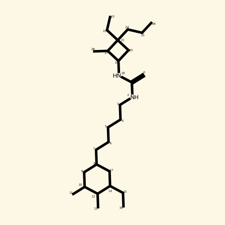 C=C(NCCCCCC1CC(C)C(C)C(CC)C1)NC1CC(CC)(CCC)C1C